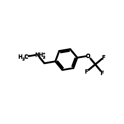 [CH2-][NH2+]Cc1ccc(OC(F)(F)F)cc1